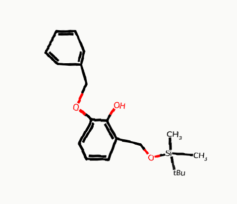 CC(C)(C)[Si](C)(C)OCc1cccc(OCc2ccccc2)c1O